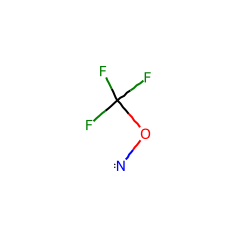 [N]OC(F)(F)F